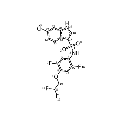 O=S(=O)(Nc1cc(F)c(OCC(F)F)cc1F)c1c[nH]c2cc(Cl)ccc12